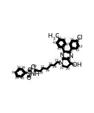 Cc1ccc(-c2nc3c(nc2-c2ccc(Cl)cc2)C(O)CCN3CCCCCCC(=O)NS(=O)(=O)c2ccccc2)cc1